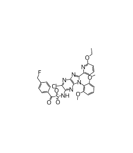 CCOc1cccc(-c2nc3nc(Cl)c(NS(=O)(=O)C(=O)c4ccc(CF)cc4)nc3n2-c2c(OC)cccc2OC)n1